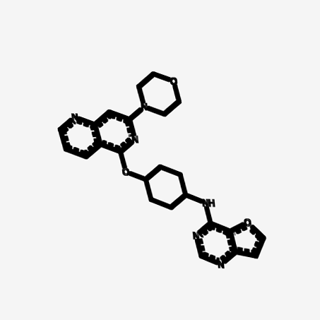 c1cnc2cc(N3CCOCC3)nc(OC3CCC(Nc4ncnc5ccoc45)CC3)c2c1